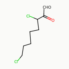 O=CC(=O)C(Cl)CCCCCCl